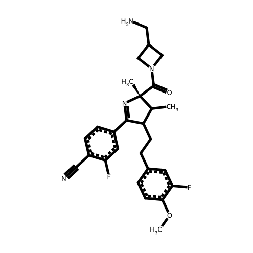 COc1ccc(CCC2C(c3ccc(C#N)c(F)c3)=N[C@](C)(C(=O)N3CC(CN)C3)C2C)cc1F